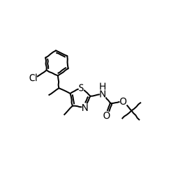 Cc1nc(NC(=O)OC(C)(C)C)sc1C(C)c1ccccc1Cl